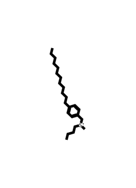 CCCCCCCCCCCCc1ccc(C[S+](C)CCCC)cc1